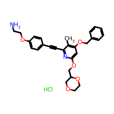 Cc1c(OCc2ccccc2)cc(OCC2COCCO2)nc1C#Cc1ccc(OCCN)cc1.Cl